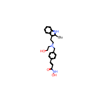 CC(C)(C)c1[nH]c2ccccc2c1CCN(CCO)Cc1ccc(/C=C/C(=O)NO)cc1